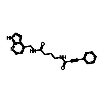 O=C(C#Cc1ccccc1)NCCCC(=O)NCc1ccnc2[nH]ccc12